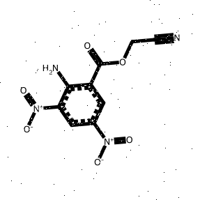 N#CCOC(=O)c1cc([N+](=O)[O-])cc([N+](=O)[O-])c1N